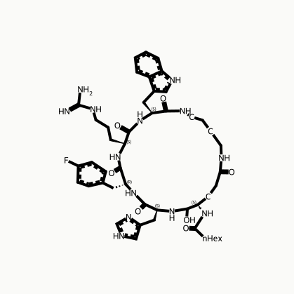 CCCCCCC(=O)N[C@H]1CCC(=O)NCCCCNC(=O)[C@H](Cc2c[nH]c3ccccc23)NC(=O)[C@H](CCCNC(=N)N)NC(=O)[C@@H](Cc2ccc(F)cc2)NC(=O)[C@H](Cc2c[nH]cn2)NC1O